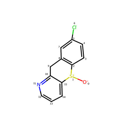 [O-][S+]1c2ccc(Cl)cc2Cc2ncccc21